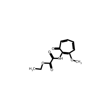 CCOC(=O)C(=O)Nc1c(OC)ccccc1=O